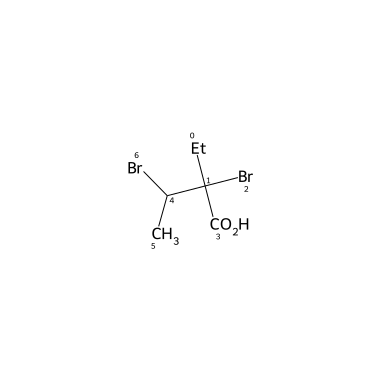 CCC(Br)(C(=O)O)C(C)Br